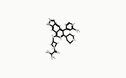 Cc1cc(-c2c(C3CCOCC3)nc(OC3CN(C(=O)[C@@H](C)O)C3)c3cc4[nH]ncc4cc23)ccn1